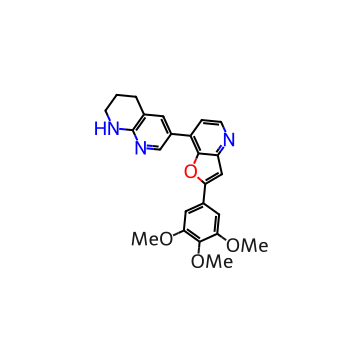 COc1cc(-c2cc3nccc(-c4cnc5c(c4)CCCN5)c3o2)cc(OC)c1OC